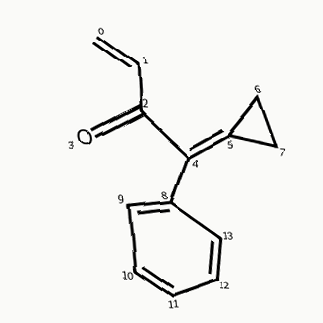 C=CC(=O)C(=C1CC1)c1ccccc1